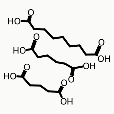 O=C(O)CCCC(=O)O.O=C(O)CCCCC(=O)O.O=C(O)CCCCCCCC(=O)O